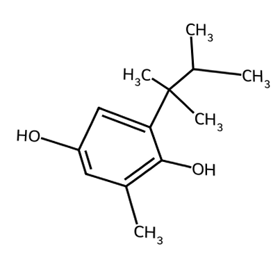 Cc1cc(O)cc(C(C)(C)C(C)C)c1O